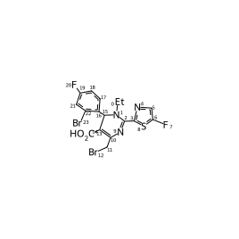 CCN1C(c2ncc(F)s2)=NC(CBr)=C(C(=O)O)C1c1ccc(F)cc1Br